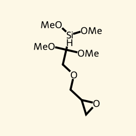 CO[SiH](OC)C(COCC1CO1)(OC)OC